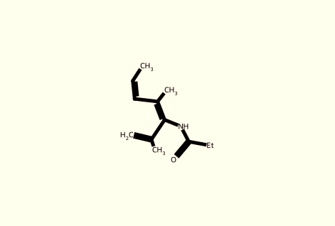 C=C(C)/C(NC(=O)CC)=C(C)\C=C/C